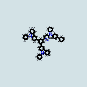 c1ccc(-c2ccc(N(c3ccccc3)c3ccc(-c4cc(-c5ccc6c(c5)c5ccccc5n6-c5ccccc5)cc(-c5ccc6c(c5)c5ccccc5n6-c5ccccc5)c4)nc3)cc2)cc1